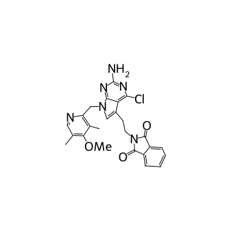 COc1c(C)cnc(Cn2cc(CCN3C(=O)c4ccccc4C3=O)c3c(Cl)nc(N)nc32)c1C